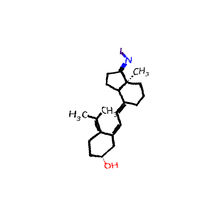 CC(C)=C1CC[C@@H](O)C/C1=C/C=C1\CCC[C@]2(C)/C(=N/I)CCC12